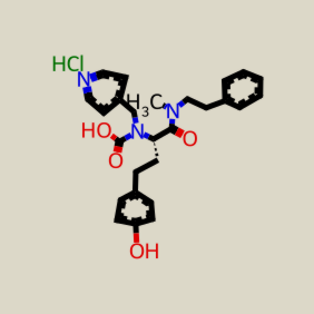 CN(CCc1ccccc1)C(=O)[C@H](CCc1ccc(O)cc1)N(Cc1ccncc1)C(=O)O.Cl